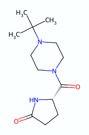 CC(C)(C)N1CCN(C(=O)[C@@H]2CCC(=O)N2)CC1